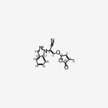 CC1=CC(OC=C(C#N)n2ncc3ccccc32)OC1=O